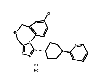 Cl.Cl.Clc1ccc2c(c1)CNCc1nnc([C@H]3CC[C@H](c4ccccn4)CC3)n1-2